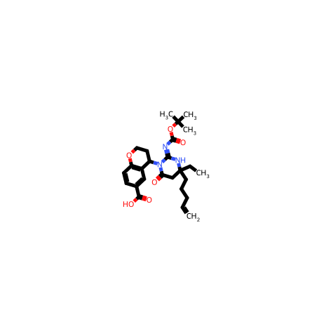 C=CCCCC1(CC)CC(=O)N(C2CCOc3ccc(C(=O)O)cc32)/C(=N/C(=O)OC(C)(C)C)N1